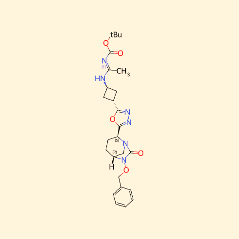 C/C(=N\C(=O)OC(C)(C)C)N[C@H]1C[C@H](c2nnc([C@@H]3CC[C@@H]4CN3C(=O)N4OCc3ccccc3)o2)C1